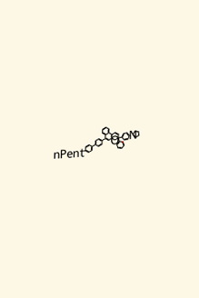 CCCCCc1ccc(-c2ccc(-c3cc4c(c5ccccc35)C=CC(c3ccccc3)(c3ccc(N5CCCC5)cc3)O4)cc2)cc1